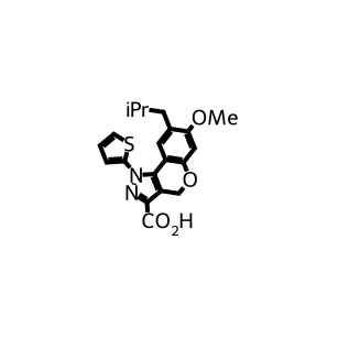 COc1cc2c(cc1CC(C)C)-c1c(c(C(=O)O)nn1-c1cccs1)CO2